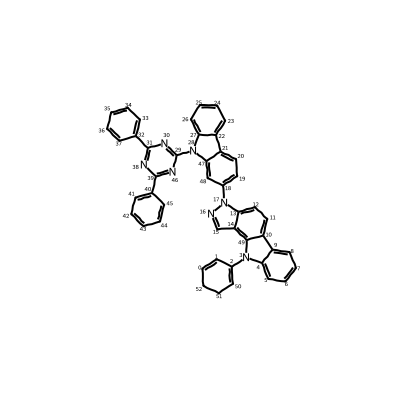 C1=CC(n2c3ccccc3c3ccc4c(cnn4-c4ccc5c6ccccc6n(-c6nc(-c7ccccc7)nc(-c7ccccc7)n6)c5c4)c32)=CCC1